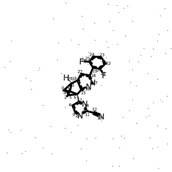 CC1(C)[C@H]2CC[C@@]1(c1ccnc(C#N)n1)c1nnc(-c3c(F)cccc3F)cc12